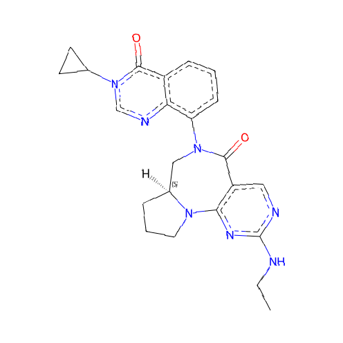 CCNc1ncc2c(n1)N1CCC[C@H]1CN(c1cccc3c(=O)n(C4CC4)cnc13)C2=O